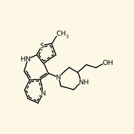 Cc1cc2c(s1)NC=c1cccnc1=C2N1CCNC(CCO)C1